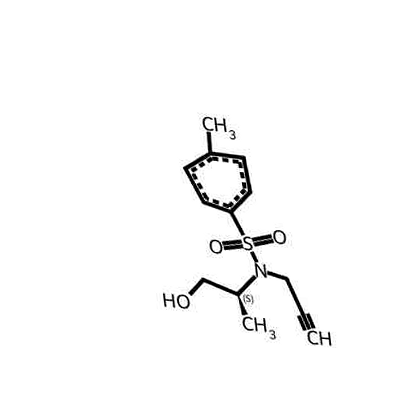 C#CCN([C@@H](C)CO)S(=O)(=O)c1ccc(C)cc1